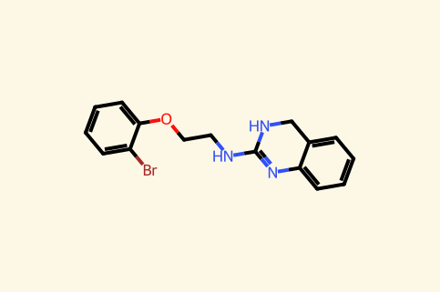 Brc1ccccc1OCCNC1=Nc2ccccc2CN1